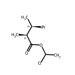 CC(Cl)OC(=O)[C@@H](C)[C@@H](C)C(C)C